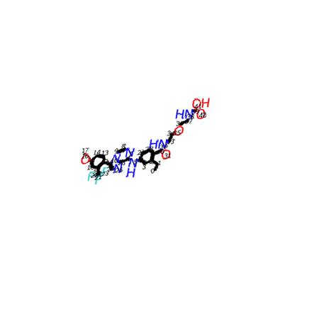 CCc1cc(Nc2nccn3c(-c4ccc(OC)cc4C(F)(F)F)cnc23)ccc1C(=O)NCCOCCNC(=O)O